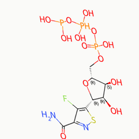 NC(=O)c1nsc([C@@H]2O[C@H](COP(=O)(O)O[PH](O)(O)OP(O)O)[C@@H](O)[C@H]2O)c1F